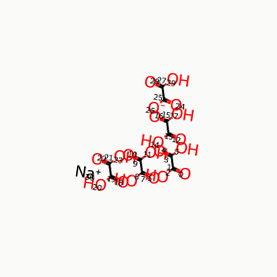 O=C(O)C(=O)O.O=C(O)C(=O)O.O=C(O)C(=O)O.O=C(O)C(=O)O.O=C([O-])C(=O)O.[Na+]